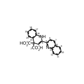 O=C(O)C1(C(=O)O)C=C(c2ccc3ccccc3n2)Nc2ccccc21